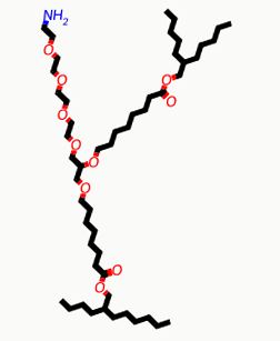 CCCCCCC(CCCC)COC(=O)CCCCCCCOCC(COCCOCCOCCOCCN)OCCCCCCCC(=O)OCC(CCCCC)CCCCC